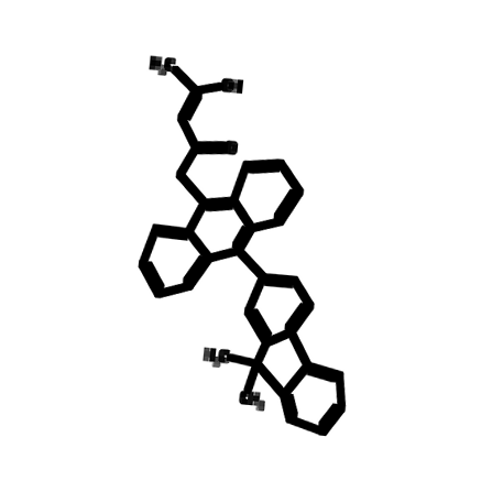 CC(O)=CC(=O)Cc1c2ccccc2c(-c2ccc3c(c2)C(C)(C)c2ccccc2-3)c2ccccc12